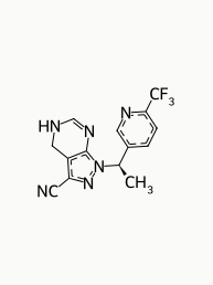 C[C@H](c1ccc(C(F)(F)F)nc1)n1nc(C#N)c2c1N=CNC2